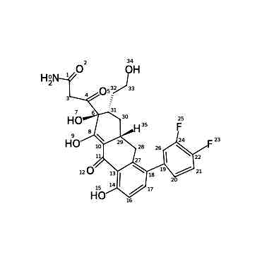 NC(=O)CC(=O)[C@@]1(O)C(O)=C2C(=O)c3c(O)ccc(-c4ccc(F)c(F)c4)c3C[C@H]2C[C@H]1CCO